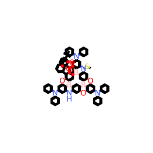 CSN1c2cc3c(cc2B2c4ccc5oc6c(C(C)(C)C)cccc6c5c4Oc4cc(N(c5ccccc5)c5ccccc5)cc1c42)B1c2cc4c(cc2Oc2cc(N(c5ccccc5)c5ccccc5)cc(c21)O3)Nc1cc(N(c2ccccc2)c2ccccc2)cc2c1B4c1ccc3oc4c(C(C)(C)C)cccc4c3c1O2